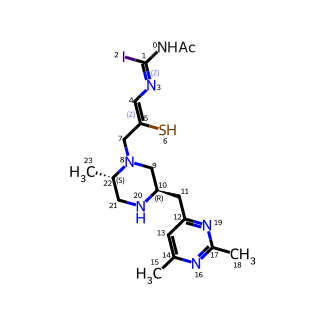 CC(=O)N/C(I)=N/C=C(\S)CN1C[C@@H](Cc2cc(C)nc(C)n2)NC[C@@H]1C